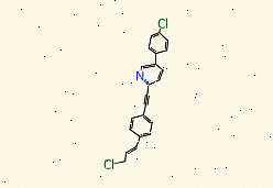 ClCC=Cc1ccc(C#Cc2ccc(-c3ccc(Cl)cc3)cn2)cc1